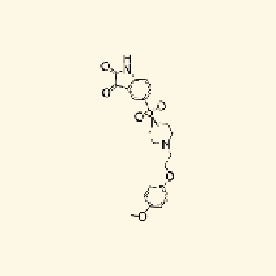 COc1ccc(OCCN2CCN(S(=O)(=O)c3ccc4c(c3)C(=O)C(=O)N4)CC2)cc1